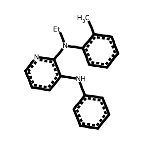 CCN(c1ccccc1C)c1ncccc1Nc1ccccc1